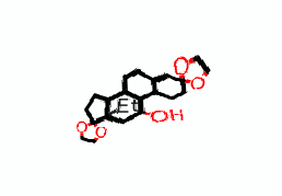 CC[C@]12C[C@H](O)C3C4CCC5(C=C4CCC3C1CCC21OCCO1)OCCO5